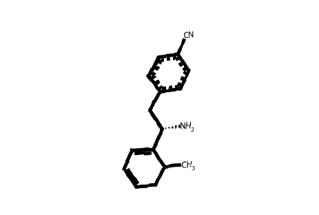 CC1CC=CC=C1[C@@H](N)Cc1ccc(C#N)cc1